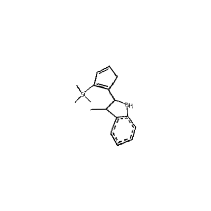 CC1c2ccccc2BC1C1=C([Si](C)(C)C)C=CC1